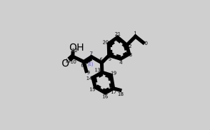 CCc1ccc(C(/C=C(\C)C(=O)O)c2cccc(C)c2)cc1